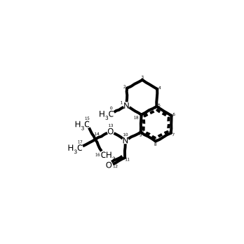 CN1CCCc2cccc(N(C=O)OC(C)(C)C)c21